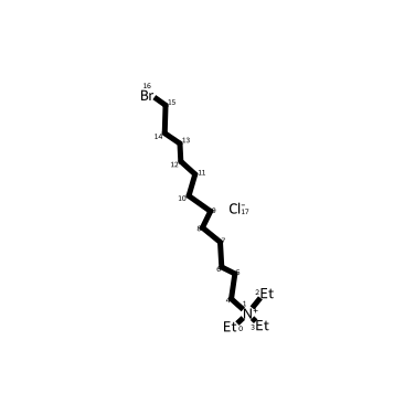 CC[N+](CC)(CC)CCCCCCCCCCCCBr.[Cl-]